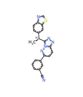 C[C@@H](c1ccc2ncsc2c1)c1nnc2ccc(-c3cccc(C#N)c3)nn12